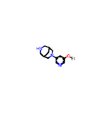 CCOc1cncc(N2CC3CCC(CNC3)C2)c1